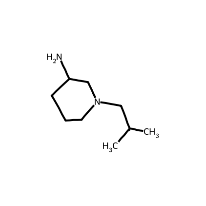 C[C](C)CN1CCCC(N)C1